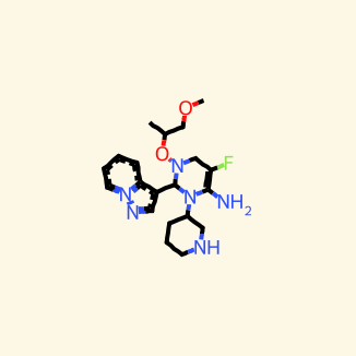 COCC(C)ON1CC(F)=C(N)N(C2CCCNC2)C1c1cnn2ccccc12